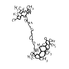 CC1=C(O)C(=O)C=C2C1=CC=C1C2(C)CCC2C3CC(C)(C(=O)NCCCOCCOCCOCCCNC(=O)CC4N=C(c5ccc(Cl)cc5)c5c(sc(C)c5C)-n5c(C)nnc54)CCC3(C)CCC12C